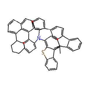 CC1(C)c2ccccc2-c2ccc(-c3ccccc3N(c3ccccc3-c3cccc4cccc(C5CCCCC5)c34)c3cccc4c3sc3ccccc34)cc21